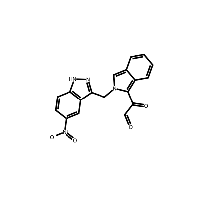 O=CC(=O)c1c2ccccc2cn1Cc1n[nH]c2ccc([N+](=O)[O-])cc12